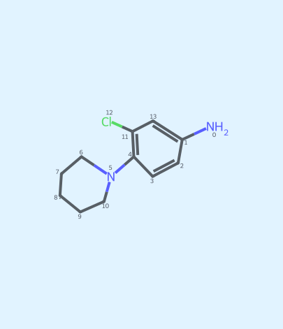 Nc1ccc(N2CC[CH]CC2)c(Cl)c1